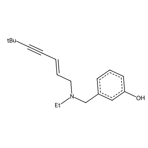 CCN(CC=CC#CC(C)(C)C)Cc1cccc(O)c1